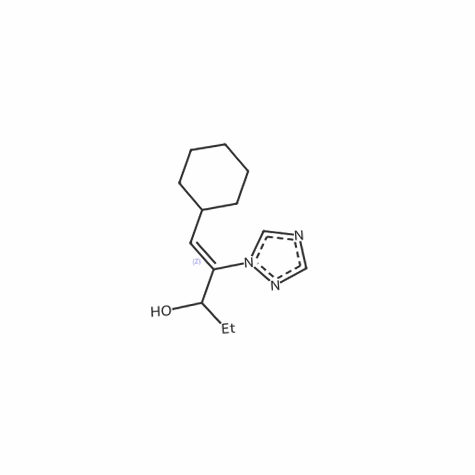 CCC(O)/C(=C/C1CCCCC1)n1cncn1